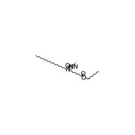 CCCCCC/C=C\COC(=O)CCCCCCCN(CCCCCCCCCCCCCCCCCC)C(=O)SCC(C)NC